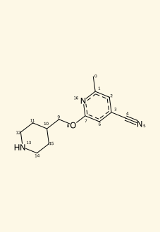 Cc1cc(C#N)cc(OCC2CCNCC2)n1